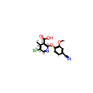 COc1cc(C#N)ccc1Oc1ncc(Br)c(C)c1C(=O)O